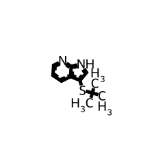 CC(C)(C)Sc1c[nH]c2ncccc12